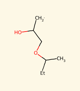 [CH2]C(O)COC(C)CC